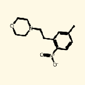 Cc1ccc([N+](=O)[O-])c(CCN2CCOCC2)c1